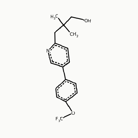 CC(C)(CO)Cc1ccc(-c2ccc(OC(F)(F)F)cc2)cn1